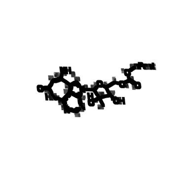 CCCCCOC(=O)OCC1OC(n2cc3c4c(ncnc42)NC(=O)C=C3N)C(C)(O)C1O